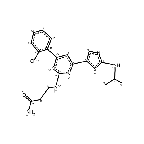 CC(C)Nc1ncc(-c2cc(-c3ccccc3Cl)nc(NCCC(N)=O)n2)s1